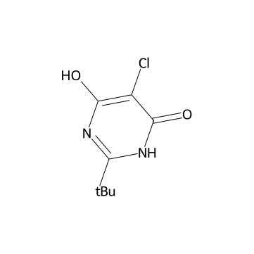 CC(C)(C)c1nc(O)c(Cl)c(=O)[nH]1